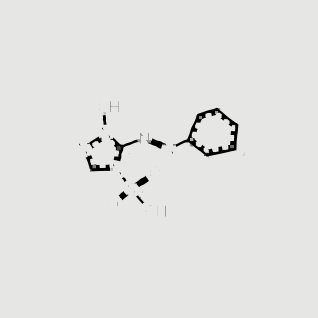 C[n+]1ncn(S(C)(=O)=O)c1N=Nc1ccccc1